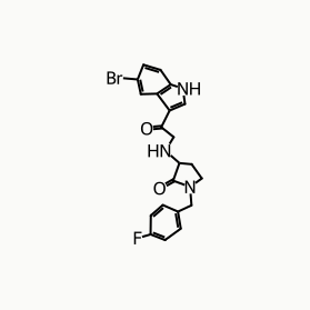 O=C(CNC1CCN(Cc2ccc(F)cc2)C1=O)c1c[nH]c2ccc(Br)cc12